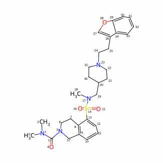 CN(C)C(=O)N1CCc2c(cccc2S(=O)(=O)N(C)CC2CCN(CCc3coc4ccccc34)CC2)C1